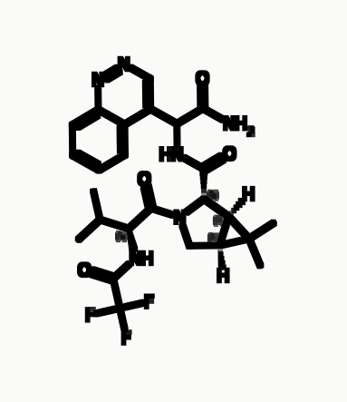 CC(C)[C@H](NC(=O)C(F)(F)F)C(=O)N1C[C@H]2[C@@H]([C@H]1C(=O)NC(C(N)=O)c1cnnc3ccccc13)C2(C)C